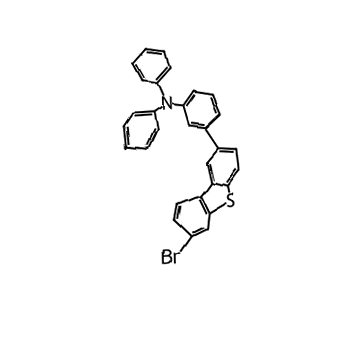 Brc1ccc2c(c1)sc1ccc(-c3cccc(N(c4ccccc4)c4ccccc4)c3)cc12